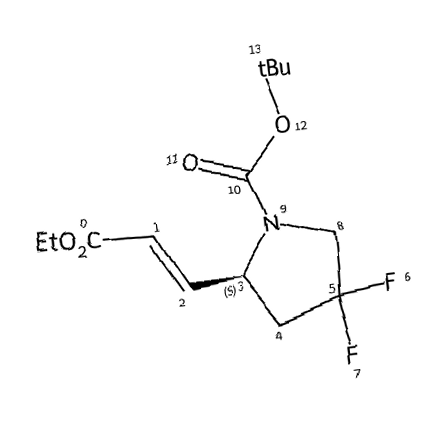 CCOC(=O)C=C[C@@H]1CC(F)(F)CN1C(=O)OC(C)(C)C